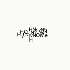 COc1nc(NC2CC(C)(O)C2)nc2[nH]cc(-c3cnc4nccn4c3)c12